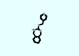 c1ccc2c(c1)CN=C(SCc1ccncc1)NC2